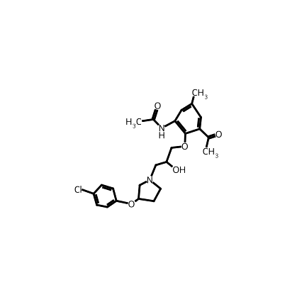 CC(=O)Nc1cc(C)cc(C(C)=O)c1OCC(O)CN1CCC(Oc2ccc(Cl)cc2)C1